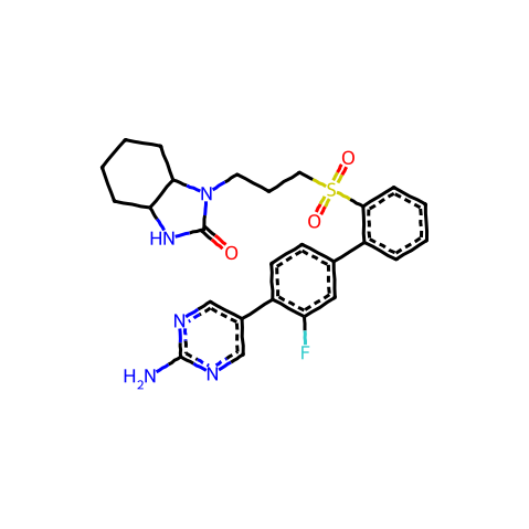 Nc1ncc(-c2ccc(-c3ccccc3S(=O)(=O)CCCN3C(=O)NC4CCCCC43)cc2F)cn1